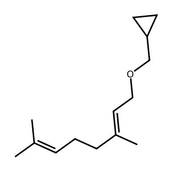 CC(C)=CCC/C(C)=C/COCC1CC1